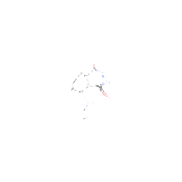 C=CCNc1cccc2c(=O)[nH][nH]c(=O)c12